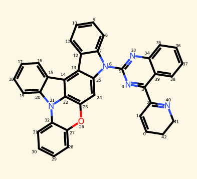 C1=CC(c2nc(-n3c4ccccc4c4c5c6ccccc6n6c5c(cc43)Oc3ccccc3-6)nc3ccccc23)=NCC1